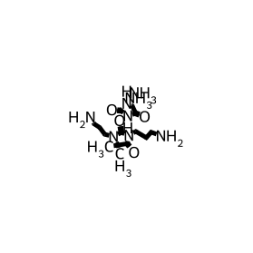 CC1(C)C(=O)N(CCCN)C(=O)N1CCCN.N.N.O=C1CNC(=O)N1